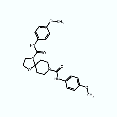 COc1ccc(NC(=O)N2CCC3(CC2)OCCN3C(=O)Nc2ccc(OC)cc2)cc1